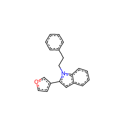 c1ccc(CCn2c(-c3ccoc3)cc3ccccc32)cc1